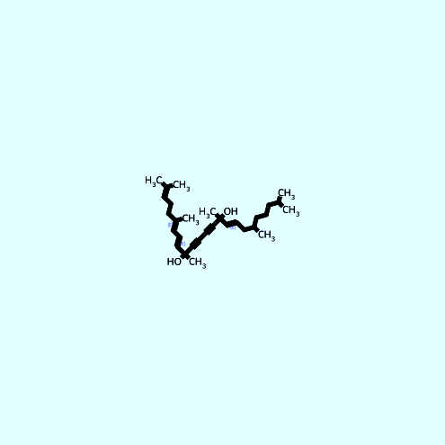 CC(C)=CCC/C(C)=C/C=C/C(C)(O)C#CC#CC(C)(O)/C=C/CC(C)CCCC(C)C